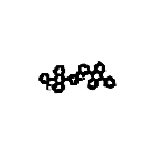 N#Cc1ccccc1-c1c2ccccc2c(-c2ccc3sc4c(-c5c6ccccc6c(-c6ccccc6)c6ccccc56)cccc4c3c2)c2ccccc12